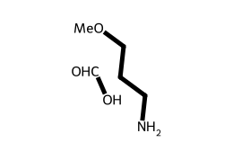 COCCCN.O=CO